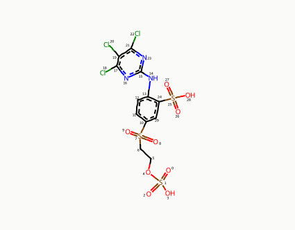 O=S(=O)(O)OCCS(=O)(=O)c1ccc(Nc2nc(Cl)c(Cl)c(Cl)n2)c(S(=O)(=O)O)c1